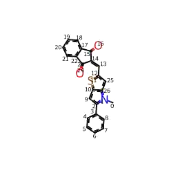 Cn1c(-c2ccccc2)cc2sc(C=C3C(=O)c4ccccc4C3=O)cc21